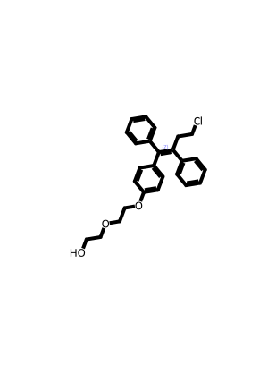 OCCOCCOc1ccc(/C(=C(/CCCl)c2ccccc2)c2ccccc2)cc1